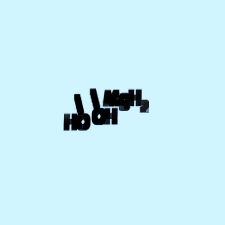 CO.CO.[MgH2]